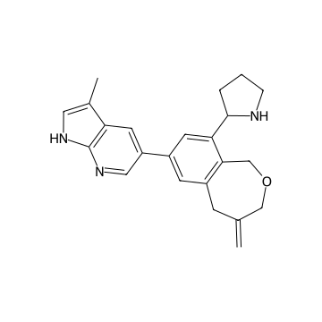 C=C1COCc2c(cc(-c3cnc4[nH]cc(C)c4c3)cc2C2CCCN2)C1